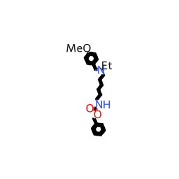 CCN(CCCCCCNC(=O)OCc1ccccc1)Cc1ccc(OC)cc1